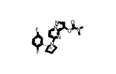 CN(C)C(=O)Oc1cnn2ccc(N3CCC[C@@H]3c3cc(F)ccc3F)nc12